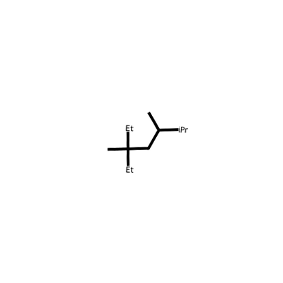 [CH2]C(C)C(C)CC(C)(CC)CC